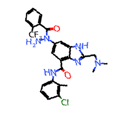 Cc1c(Cl)cccc1NC(=O)c1cc(N(N)C(=O)c2ccccc2C(F)(F)F)cc2[nH]c(CN(C)C)nc12